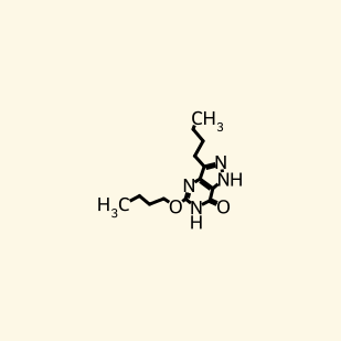 CCCCOc1nc2c(CCCC)n[nH]c2c(=O)[nH]1